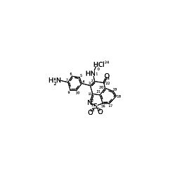 CNC1=C(c2ccc(N)cc2)C2=NS(=O)(=O)c3cccc(c32)C1=O.Cl